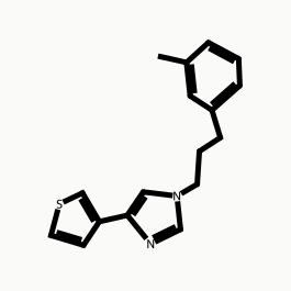 Cc1cccc(CCCn2cnc(-c3ccsc3)c2)c1